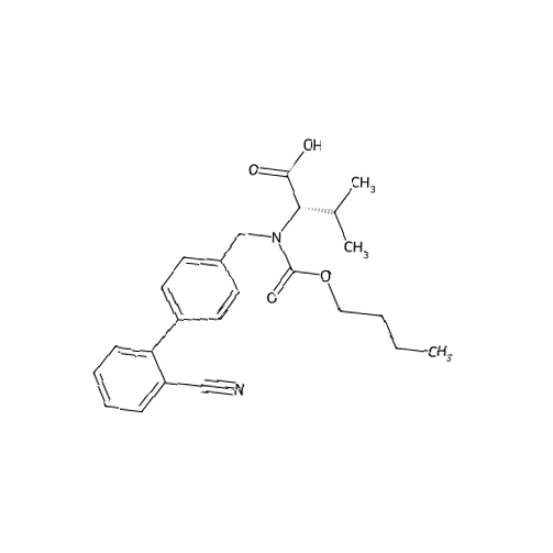 CCCCOC(=O)N(Cc1ccc(-c2ccccc2C#N)cc1)[C@H](C(=O)O)C(C)C